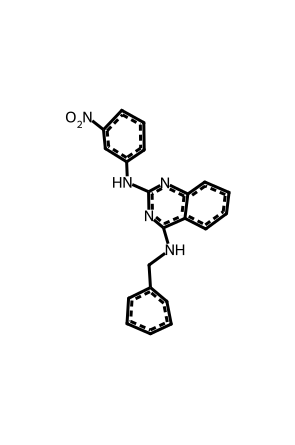 O=[N+]([O-])c1cccc(Nc2nc(NCc3ccccc3)c3ccccc3n2)c1